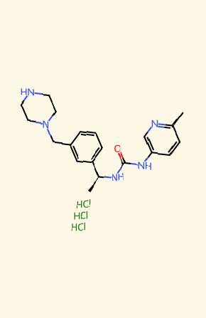 Cc1ccc(NC(=O)N[C@@H](C)c2cccc(CN3CCNCC3)c2)cn1.Cl.Cl.Cl